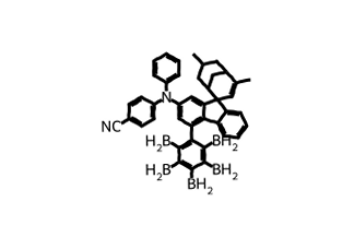 Bc1c(B)c(B)c(-c2cc(N(c3ccccc3)c3ccc(C#N)cc3)cc3c2-c2ccccc2C32C=C(C)C3CC(C)CC2C3)c(B)c1B